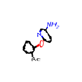 CC(=O)c1ccccc1Oc1ccc(N)cn1